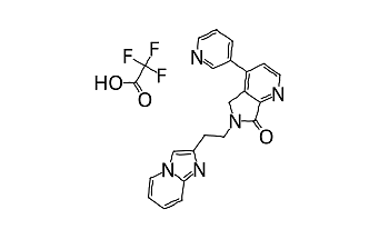 O=C(O)C(F)(F)F.O=C1c2nccc(-c3cccnc3)c2CN1CCc1cn2ccccc2n1